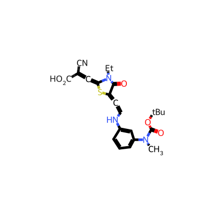 CCn1c(=C=C(C#N)C(=O)O)sc(=C=CNc2cccc(N(C)C(=O)OC(C)(C)C)c2)c1=O